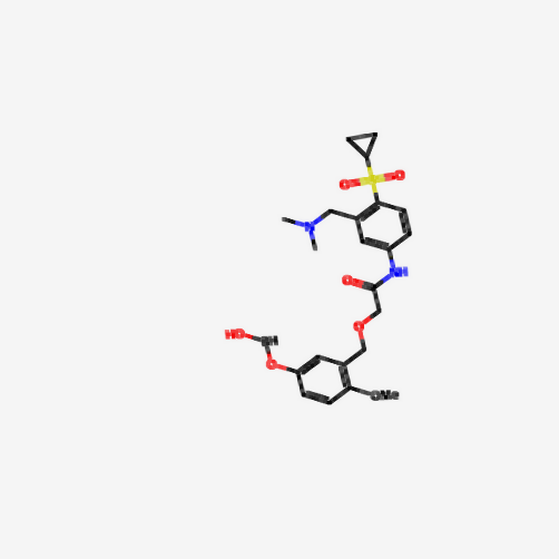 COc1ccc(OBO)cc1COCC(=O)Nc1ccc(S(=O)(=O)C2CC2)c(CN(C)C)c1